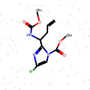 C=CCC(NC(=O)OC(C)(C)C)c1nc(Br)cn1C(=O)OC(C)(C)C